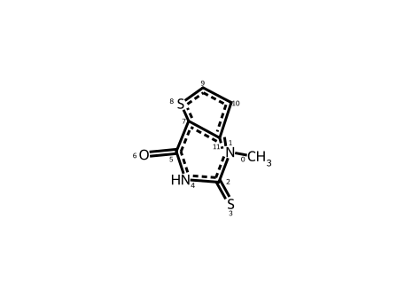 Cn1c(=S)[nH]c(=O)c2sccc21